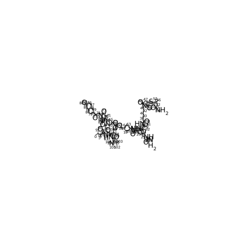 CC[C@H](C)[C@@H]([C@@H](CC(=O)N1C[C@@H](OC(=O)OCc2ccc(NC(=O)[C@H](CCCNC(N)=O)NC(=O)[C@@H](NC(=O)CCCCCN3C(=O)CC(SCC4(CC(N)=O)CC4)C3=O)C(C)C)cc2)C[C@H]1[C@H](OC)[C@@H](C)C(=O)NCC(=O)c1ccc2cc(OC)ccc2c1)OC)N(C)C(=O)[C@@H](NC(=O)[C@H](C(C)C)N(C)C)C(C)C